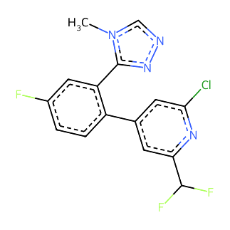 Cn1cnnc1-c1cc(F)ccc1-c1cc(Cl)nc(C(F)F)c1